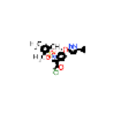 Cc1cc(C)c(S(=O)(=O)n2cc(C(=O)CCl)c3ccc(Oc4ccc(C5CC5)nn4)cc32)c(C)c1